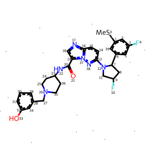 CSc1cc(F)cc(C2CC(F)CN2c2ccc3ncc(C(=O)NC4CCN(Cc5cccc(O)c5)CC4)n3n2)c1